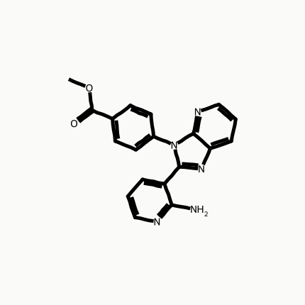 COC(=O)c1ccc(-n2c(-c3cccnc3N)nc3cccnc32)cc1